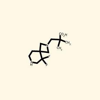 CC(C)(CN1CC2(CCNCC2(F)F)C1)C(=O)O